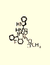 CC(=O)OCCN1C(=O)[C@H](NC(=O)c2cc3ccccc3[nH]2)N=C(c2ccccc2F)c2ccccc21